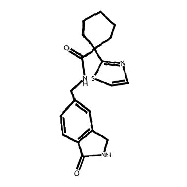 O=C1NCc2cc(CNC(=O)C3(c4nccs4)CCCCC3)ccc21